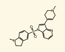 CN1CC=C(c2cn(S(=O)(=O)c3ccc4c(c3)CCN4C)c3cccnc23)CC1